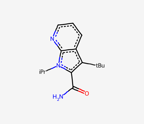 CC(C)n1c(C(N)=O)c(C(C)(C)C)c2cccnc21